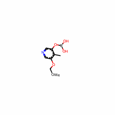 COCOc1cncc(OB(O)O)c1C